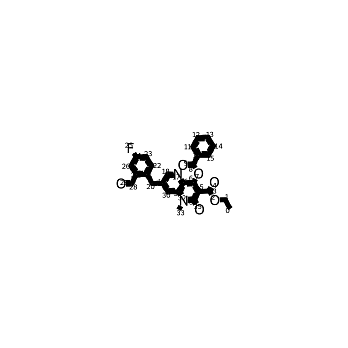 CCOC(=O)c1c(OC(=O)c2ccccc2)c2ncc(Cc3ccc(F)cc3C=O)cc2n(C)c1=O